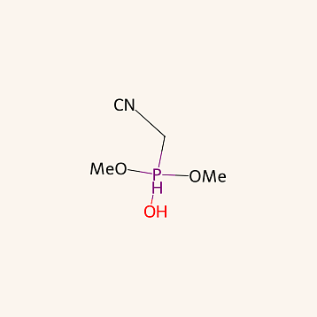 [C-]#[N+]C[PH](O)(OC)OC